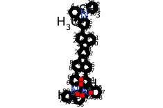 CC12CCCCC1(C)N(c1ccccc1)c1ccc(-c3ccc4c5cc6c(cc5c5cccc3c54)c3ccc(-c4ccc5c(c4)C4CCCCC4N5c4ccccc4)c4c(-c5ccc7c(c5)C5(C)CCCCC5(C)N7c5ccccc5)ccc6c43)cc12